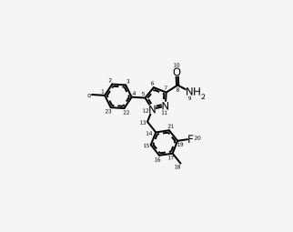 Cc1ccc(-c2cc(C(N)=O)nn2Cc2ccc(C)c(F)c2)cc1